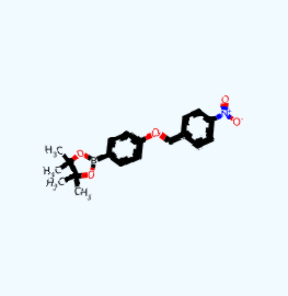 CC1(C)OB(c2ccc(OCc3ccc([N+](=O)[O-])cc3)cc2)OC1(C)C